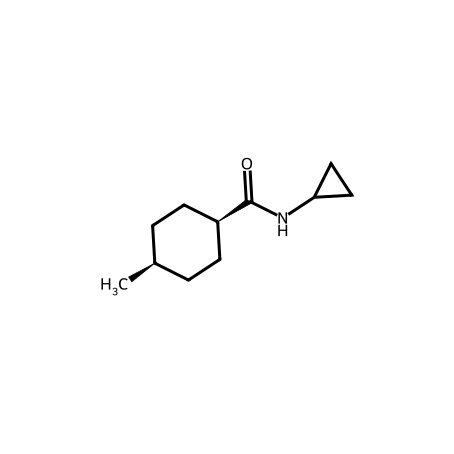 C[C@H]1CC[C@@H](C(=O)NC2CC2)CC1